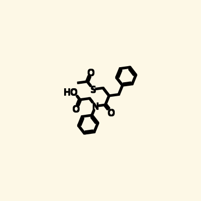 CC(=O)SCC(Cc1ccccc1)C(=O)N(CC(=O)O)c1ccccc1